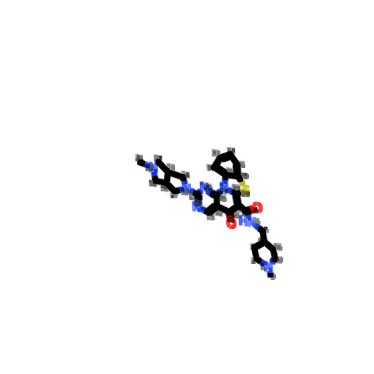 CN1CCC(CNC(=O)c2c(=O)c3cnc(N4CC5CN(C)CC5C4)nc3n3c2sc2ccccc23)CC1